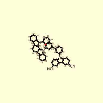 N#Cc1ccc2c(c1)c1cc(C#N)ccc1n2-c1cccc(-c2cccc(-n3c4ccccc4c4ccc5c6ccccc6n(-c6ccccc6)c5c43)c2)c1